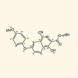 CCCCOC(=O)c1nc(C#N)c2cc(Oc3ccc(OC)cc3)ccc2c1O